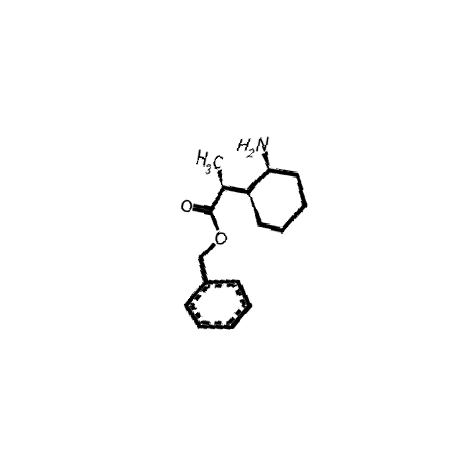 C[C@H](C(=O)OCc1ccccc1)[C@@H]1CCCC[C@@H]1N